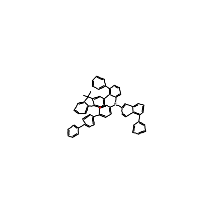 CC1(C)c2ccccc2-c2ccc(-c3c(-c4ccccc4)cccc3N(c3ccc(-c4ccc(-c5ccccc5)cc4)cc3)c3ccc4c(-c5ccccc5)cccc4c3)cc21